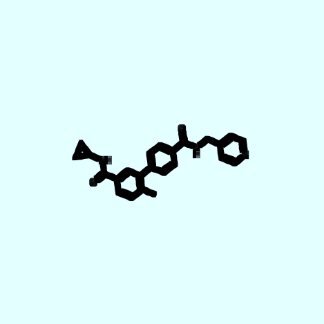 Cc1ccc(C(=O)NC2CC2)cc1-c1ccc(C(=O)NCc2ccncc2)cc1